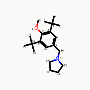 COc1c(C(C)(C)C)cc(CN2CCCC2)cc1C(C)(C)C